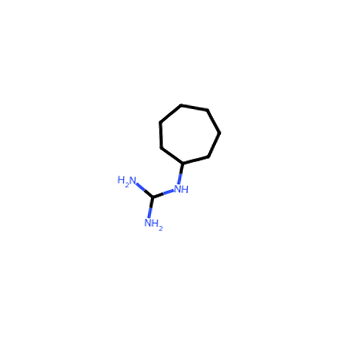 NC(N)NC1CCCCCC1